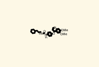 COc1cc2nccc(Oc3ccc(NC(=O)NCCCC4CCCCC4)cc3)c2cc1OC